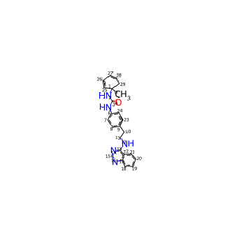 CC1(NC(=O)Nc2ccc(CCNc3ncnc4ccccc34)cc2)C=CC=CC1